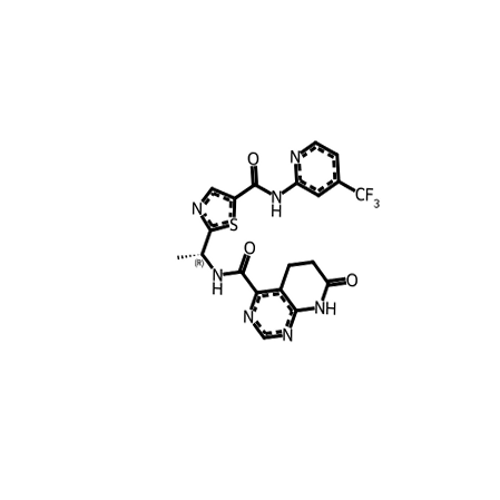 C[C@@H](NC(=O)c1ncnc2c1CCC(=O)N2)c1ncc(C(=O)Nc2cc(C(F)(F)F)ccn2)s1